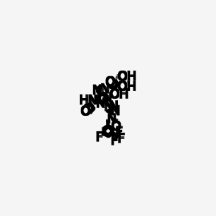 O=CN(Cc1cc(F)cc(C(F)(F)F)c1)c1cn(-c2nc(N[C@@H]3CCOC3)c3ncn([C@@H]4O[C@H](CO)[C@H](O)[C@@H]4O)c3n2)nn1